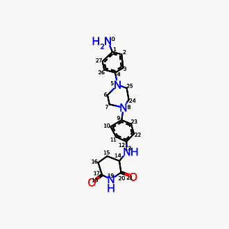 Nc1ccc(N2CCN(c3ccc(NC4CCC(=O)NC4=O)cc3)CC2)cc1